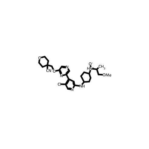 COCC(C)[NH+]([O-])C1CCC(Nc2cc(-c3cncc(OCC4(C#N)CCOCC4)n3)c(Cl)cn2)CC1